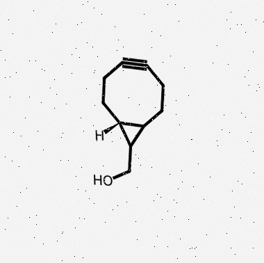 OCC1C2CCC#CCC[C@@H]12